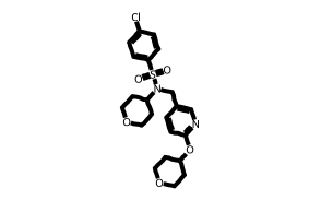 O=S(=O)(c1ccc(Cl)cc1)N(Cc1ccc(OC2CCOCC2)nc1)C1CCOCC1